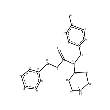 Cc1ccc(CN(C(=O)CSc2ccccc2)C2CCNCC2)cc1